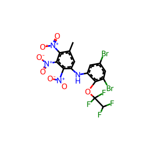 Cc1cc(Nc2cc(Br)cc(Br)c2OC(F)(F)C(F)F)c([N+](=O)[O-])c([N+](=O)[O-])c1[N+](=O)[O-]